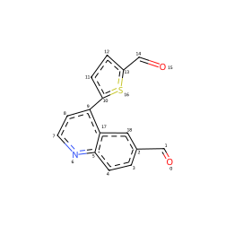 O=Cc1ccc2nccc(-c3ccc(C=O)s3)c2c1